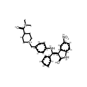 CN(C)C(=O)C1CCN(Cc2ccc(NC(=C3C(=O)Nc4ccc([N+](=O)[O-])cc43)c3ccccc3)cc2)CC1